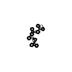 c1cc(N2c3ccccc3Oc3ccccc32)cc(-n2c3ccccc3c3cc4c5ccccc5n(-c5cccc(-n6c7ccccc7c7ccccc76)n5)c4cc32)c1